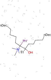 CCCCCCCCCCCCCCC(O)(CC)C([PH-])(CCCCCCCCCCCCCC)[N+](C)(C)C